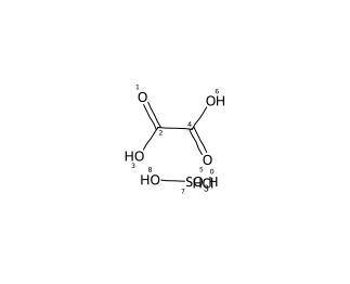 Cl.O=C(O)C(=O)O.O=S(=O)(O)O